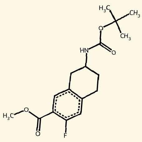 COC(=O)c1cc2c(cc1F)CCC(NC(=O)OC(C)(C)C)C2